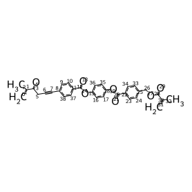 C=C(C)C(=O)CC#Cc1ccc(C(=O)Oc2ccc(OC(=O)c3ccc(COC(=O)C(=C)C)cc3)cc2)cc1